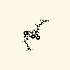 CCOc1nc2cccc(C(=O)OC(C)OC(=O)OCCCON(O)O)c2n1Cc1ccc(-c2ccccc2-c2nnn(C(C)OC(=O)OCCCON(O)O)n2)cc1